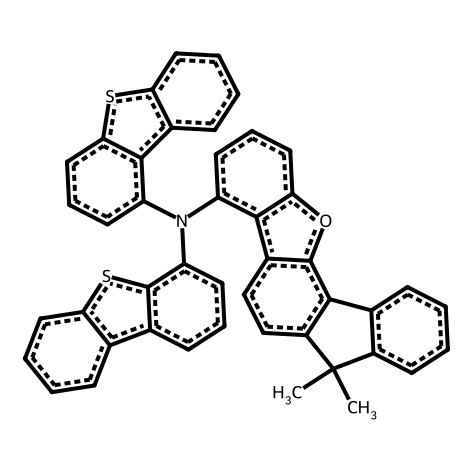 CC1(C)c2ccccc2-c2c1ccc1c2oc2cccc(N(c3cccc4c3sc3ccccc34)c3cccc4sc5ccccc5c34)c21